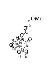 COCCOCO[C@H]1C(=O)CC2(OCCO2)C2=NOC[C@@H]21